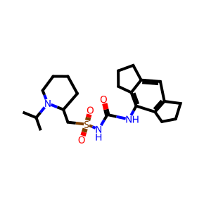 CC(C)N1CCCCC1CS(=O)(=O)NC(=O)Nc1c2c(cc3c1CCC3)CCC2